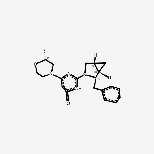 C[C@@H]1CN(c2cc(=O)[nH]c(N3C[C@@H]4C[C@@H]4[C@H]3Cc3ccccc3)n2)CCO1